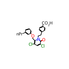 CCCc1cccc(OCc2c(Cl)cc(Cl)c(=O)n2CCc2ccc(C(=O)O)cc2)c1